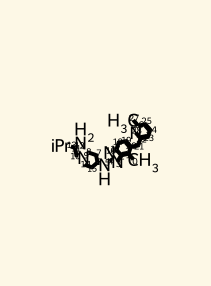 CC1=C2N=C(NC3CCN(CC(N)C(C)C)CC3)N=C2CC=C1Cc1cccc(C)n1